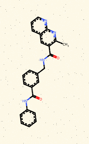 Cc1nc2ncccc2cc1C(=O)NCc1cccc(C(=O)Nc2ccccc2)c1